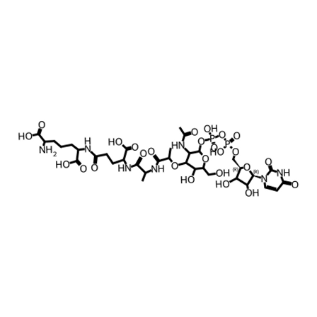 CC(=O)NC1C(OP(=O)(O)OP(=O)(O)OC[C@H]2O[C@@H](n3ccc(=O)[nH]c3=O)C(O)C2O)OC(CO)C(O)C1OC(C)C(=O)NC(C)C(=O)NC(CCC(=O)NC(CCCC(N)C(=O)O)C(=O)O)C(=O)O